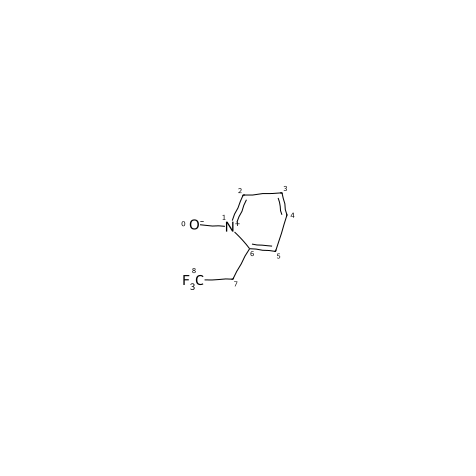 [O-][n+]1ccccc1CC(F)(F)F